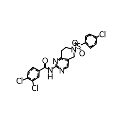 O=C(Nc1ncc2c(n1)CCN(S(=O)(=O)c1ccc(Cl)cc1)C2)c1ccc(Cl)c(Cl)c1